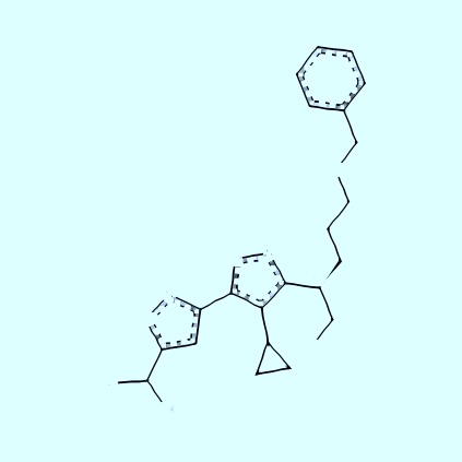 CC(C)(C)C(O)c1cc(-c2onc([C@@H](CCCOCc3ccccc3)CC(=O)O)c2C2CC2)no1